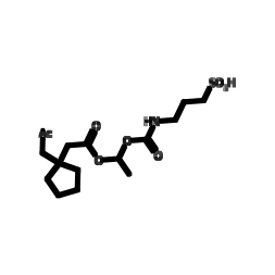 CC(=O)CC1(CC(=O)OC(C)OC(=O)NCCCS(=O)(=O)O)CCCC1